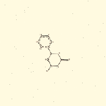 C=C1CC(C)OC(c2ccccc2)C1